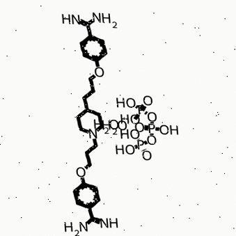 N=C(N)c1ccc(OCCCC2CCN(CCCOc3ccc(C(=N)N)cc3)CC2)cc1.O.O.O=P(O)(O)OP(=O)(O)OP(=O)(O)O